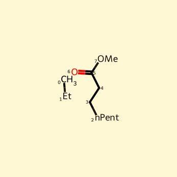 CCC.CCCCCCCC(=O)OC